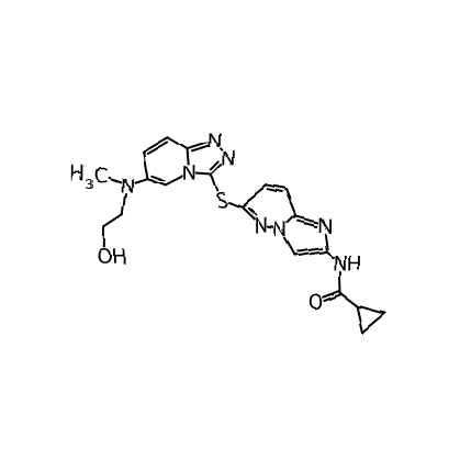 CN(CCO)c1ccc2nnc(Sc3ccc4nc(NC(=O)C5CC5)cn4n3)n2c1